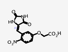 O=C(O)COc1ccc([N+](=O)[O-])c(/C=C2/NC(=O)NC2=O)c1